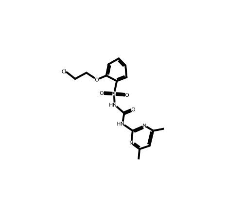 Cc1cc(C)nc(NC(=O)NS(=O)(=O)c2ccccc2OCCCl)n1